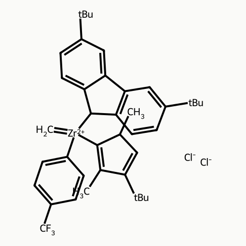 [CH2]=[Zr+2]([C]1=C(C)C(C(C)(C)C)=CC1C)([c]1ccc(C(F)(F)F)cc1)[CH]1c2ccc(C(C)(C)C)cc2-c2cc(C(C)(C)C)ccc21.[Cl-].[Cl-]